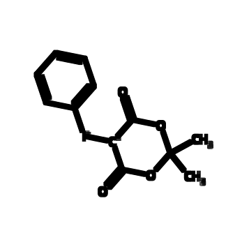 CC1(C)OC(=O)[C-]([I+]c2ccccc2)C(=O)O1